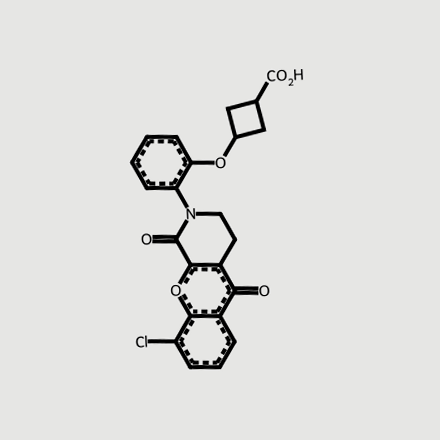 O=C(O)C1CC(Oc2ccccc2N2CCc3c(oc4c(Cl)cccc4c3=O)C2=O)C1